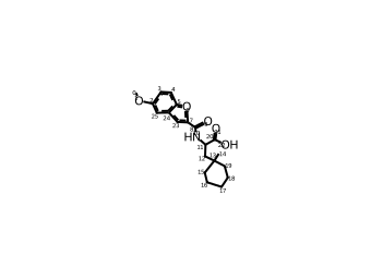 COc1ccc2oc(C(=O)NC(CC3(C)CCCCC3)C(=O)O)cc2c1